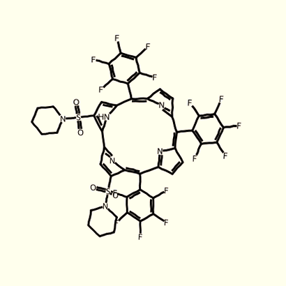 O=S(=O)(C1=CC2=NC1=C(c1c(F)c(F)c(F)c(F)c1F)C1=NC(=C(c3c(F)c(F)c(F)c(F)c3F)C3=NC(=C(c4c(F)c(F)c(F)c(F)c4F)c4cc(S(=O)(=O)N5CCCCC5)c2[nH]4)C=C3)C=C1)N1CCCCC1